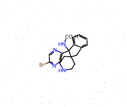 O=C(O)NC1(c2cnc(Br)cn2)c2ccccc2CC12CCNCC2